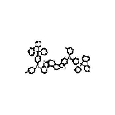 Cc1ccc(N(c2ccc(C3(c4ccccc4)c4ccccc4-c4ccccc43)cc2)c2cccc3c2oc2ccc4c(ccc5oc6cc(N(c7ccc(C8(c9ccccc9)c9ccccc9-c9ccccc98)cc7)c7cccc(C)c7)ccc6c54)c23)cc1